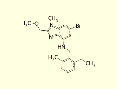 CCc1cccc(C)c1CNc1cc(Br)cc2c1nc(COC)n2C